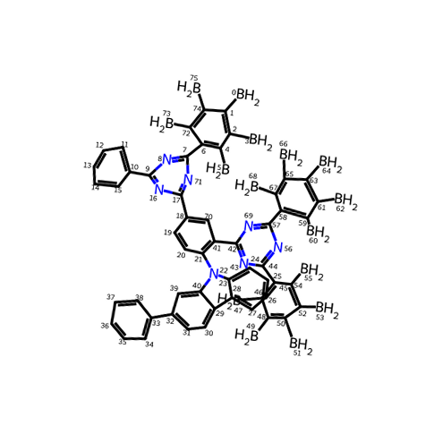 Bc1c(B)c(B)c(-c2nc(-c3ccccc3)nc(-c3ccc(-n4c5ccccc5c5ccc(-c6ccccc6)cc54)c(-c4nc(-c5c(B)c(B)c(B)c(B)c5B)nc(-c5c(B)c(B)c(B)c(B)c5B)n4)c3)n2)c(B)c1B